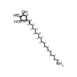 NCCCCCCCCCCCCCCCCCC=Cc1cc(O)c(O)c(O)c1